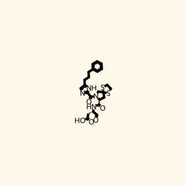 O=C[C@H](CC(=O)O)NC(=O)[C@@H]1CC2(CN1C(=O)c1ncc(CCCc3ccccc3)[nH]1)SCCS2